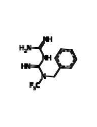 N=C(N)NC(=N)N(Cc1ccccc1)C(F)(F)F